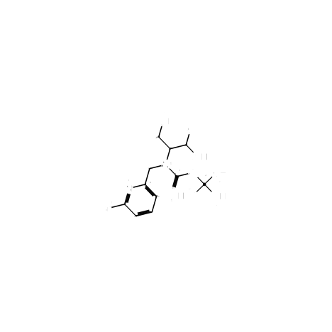 CC(C)C(CO)N(Cc1cccc(Br)n1)C(=O)OC(C)(C)C